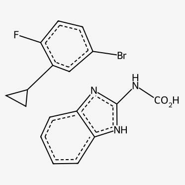 Fc1ccc(Br)cc1C1CC1.O=C(O)Nc1nc2ccccc2[nH]1